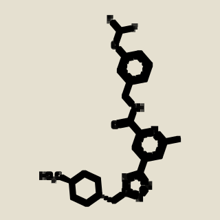 Cc1cc(-c2nnn(C[C@H]3CC[C@H](C(=O)O)CC3)n2)cc(C(=O)NCc2cccc(OC(F)F)c2)n1